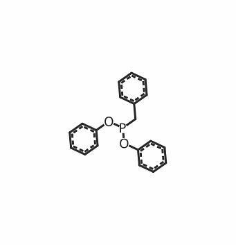 c1ccc(CP(Oc2ccccc2)Oc2ccccc2)cc1